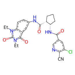 CCn1c(=O)c2cc(NC(=O)[C@@H]3CCC[C@@H]3NC(=O)c3cnc(C#N)c(Cl)c3)ccc2n(CC)c1=O